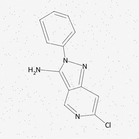 Nc1c2cnc(Cl)cc2nn1-c1ccccc1